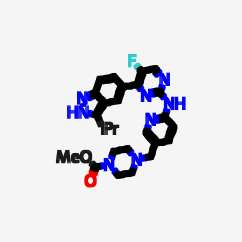 COC(=O)N1CCN(Cc2ccc(Nc3ncc(F)c(-c4ccc5n[nH]c(C(C)C)c5c4)n3)nc2)CC1